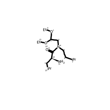 CCOC(CN(CCC(C)C)C(=O)[C@@H](N)CC(C)C)OCC